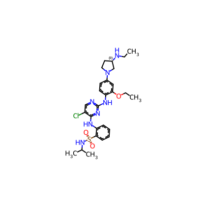 CCN[C@@H]1CCN(c2ccc(Nc3ncc(Cl)c(Nc4ccccc4S(=O)(=O)NC(C)C)n3)c(OCC)c2)C1